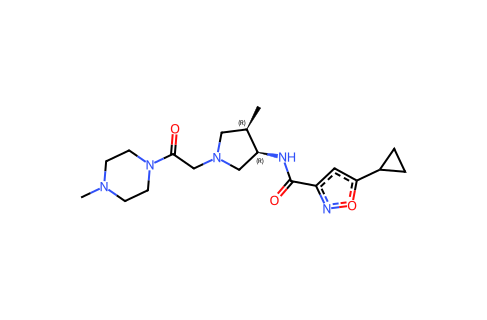 C[C@@H]1CN(CC(=O)N2CCN(C)CC2)C[C@@H]1NC(=O)c1cc(C2CC2)on1